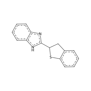 c1ccc2c(c1)CC(c1nc3ccccc3[nH]1)S2